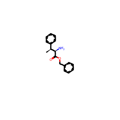 C[C@@H](c1ccccc1)[C@@H](N)C(=O)OCc1ccccc1